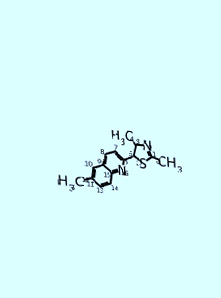 CC1=NC(C)C(c2ccc3cc(C)ccc3n2)S1